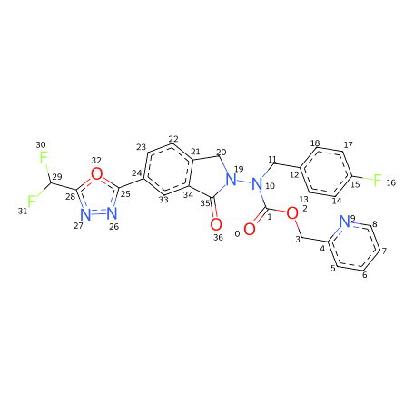 O=C(OCc1ccccn1)N(Cc1ccc(F)cc1)N1Cc2ccc(-c3nnc(C(F)F)o3)cc2C1=O